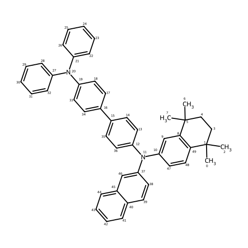 CC1(C)CCC(C)(C)c2cc(N(c3ccc(-c4ccc(N(c5ccccc5)c5ccccc5)cc4)cc3)c3ccc4ccccc4c3)ccc21